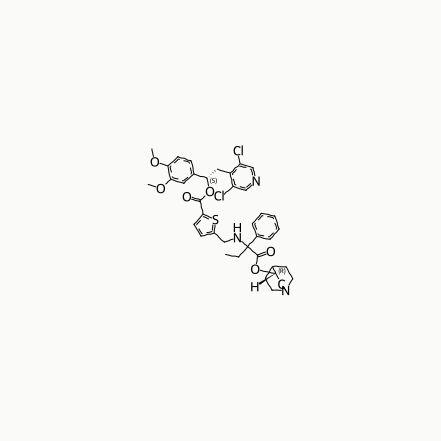 CCC(NCc1ccc(C(=O)O[C@@H](Cc2c(Cl)cncc2Cl)c2ccc(OC)c(OC)c2)s1)(C(=O)O[C@H]1CN2CCC1CC2)c1ccccc1